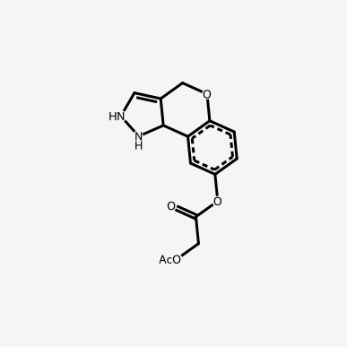 CC(=O)OCC(=O)Oc1ccc2c(c1)C1NNC=C1CO2